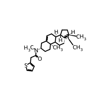 C[C@H]1[C@H]2CC[C@H]3[C@@H]4CC=C5C[C@@H](N(C)C(=O)Cc6cccs6)CC[C@]5(C)C4CC[C@]23CN1C